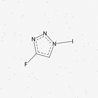 Fc1cn(I)nn1